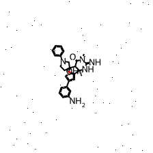 CN1C(=N)N[C@](C)(c2cc(-c3cccc(N)c3)cs2)C(C2(O)CCN(c3ccccc3)C2)C1=O